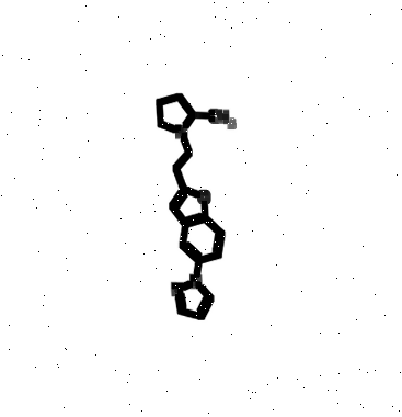 CC1CCCN1CCc1cc2cc(-n3cccn3)ccc2o1